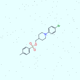 Cc1ccc(S(=O)(=O)OCC2CCN(c3ccc(Br)cc3)CC2)cc1